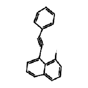 Ic1cccc2cccc(C#Cc3ccccc3)c12